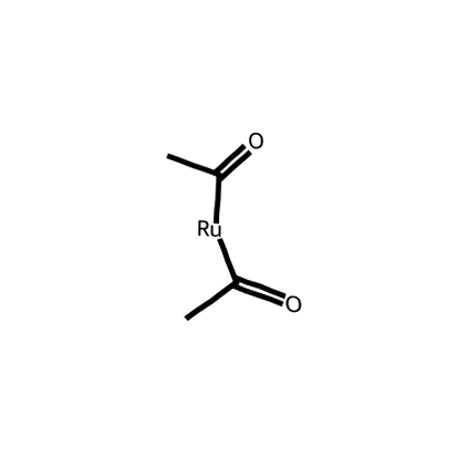 C[C](=O)[Ru][C](C)=O